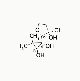 CC1(C)[C@H](O)[C@]1(O)[C@@H]1OCCC1(O)O